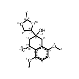 COc1ccc(OC)c2c1C[C@@](O)([C@H]1CO[C@@H](C)O1)C[C@@H]2O